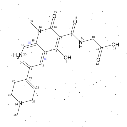 C=C(/C=c1/c(O)c(C(=O)NCC(=O)O)c(=O)n(C)/c1=C/N)C1=CCN(C)CC1